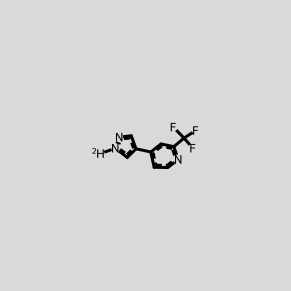 [2H]n1cc(-c2ccnc(C(F)(F)F)c2)cn1